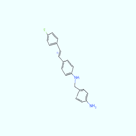 Nc1ccc(CNc2ccc(/C=C/c3ccc(F)cc3)cc2)cc1